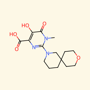 Cn1c(N2CCCC3(CCOCC3)C2)nc(C(=O)O)c(O)c1=O